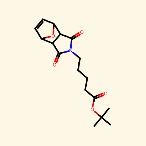 CC(C)(C)OC(=O)CCCCN1C(=O)C2C3C=CC(O3)C2C1=O